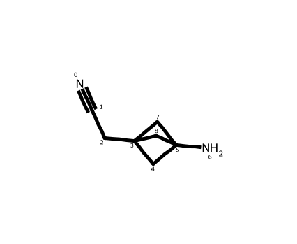 N#CCC12CC(N)(C1)C2